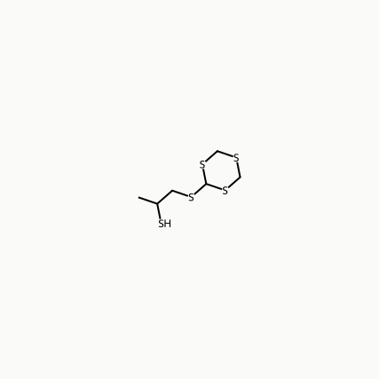 CC(S)CSC1SCSCS1